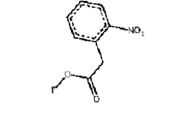 O=C(Cc1ccccc1[N+](=O)[O-])OF